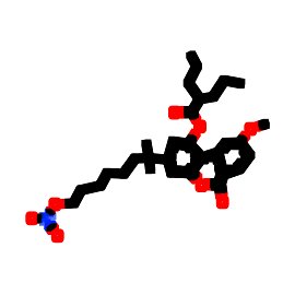 CCCC(CCC)C(=O)Oc1cc(C(C)(C)CCCCCCO[N+](=O)[O-])cc2oc(=O)c3ccc(OC)cc3c12